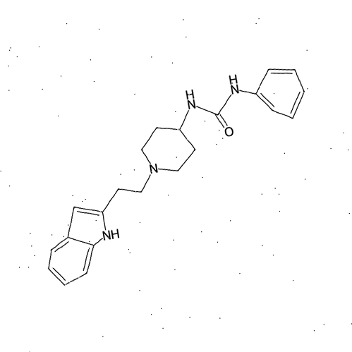 O=C(Nc1ccccc1)NC1CCN(CCc2cc3ccccc3[nH]2)CC1